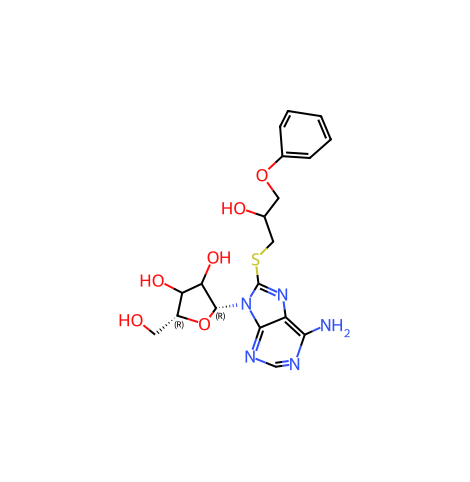 Nc1ncnc2c1nc(SCC(O)COc1ccccc1)n2[C@@H]1O[C@H](CO)C(O)C1O